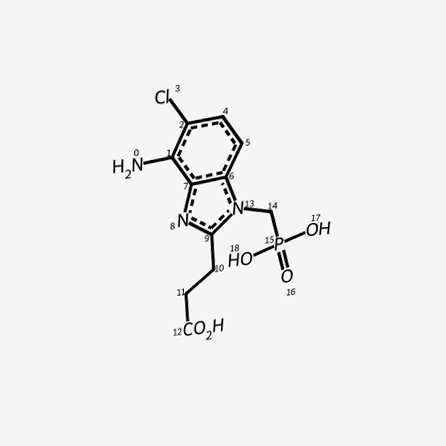 Nc1c(Cl)ccc2c1nc(CCC(=O)O)n2CP(=O)(O)O